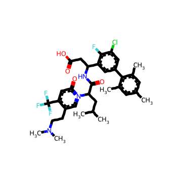 Cc1cc(C)c(-c2cc(Cl)c(F)c(C(CC(=O)O)NC(=O)C(CC(C)C)n3cc(CCN(C)C)c(C(F)(F)F)cc3=O)c2)c(C)c1